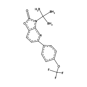 BC(B)(B)n1c(=O)oc2ccc(-c3ccc(OC(F)(F)F)cc3)nc21